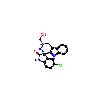 O=C1Nc2ccc(Cl)cc2[C@]12N[C@@H](CO)Cc1c2[nH]c2ccccc12